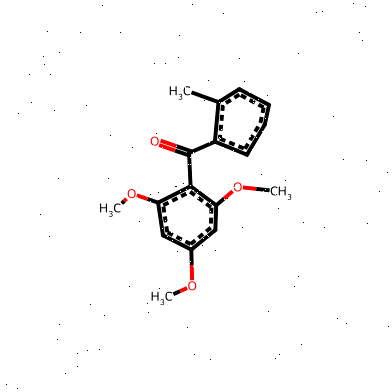 COc1cc(OC)c(C(=O)c2ccccc2C)c(OC)c1